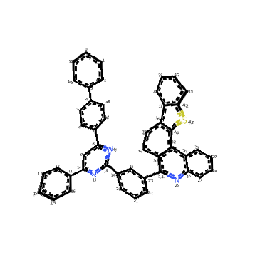 c1ccc(-c2ccc(-c3cc(-c4ccccc4)nc(-c4cccc(-c5nc6ccccc6c6c5ccc5c7ccccc7sc56)c4)n3)cc2)cc1